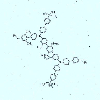 C=CC(C)(N)c1ccc(-c2ccc(N(c3ccc(-c4ccc(CC(C)C)cc4)cc3)c3ccc(-c4cc(CCCCCC)c(-c5ccc(N(c6ccc(-c7ccc(C(C)(N)CCC)cc7)cc6)c6ccc(-c7c(C)cc(CC(C)C)cc7C)cc6)cc5C)cc4CCCCCC)c(C)c3)cc2)cc1